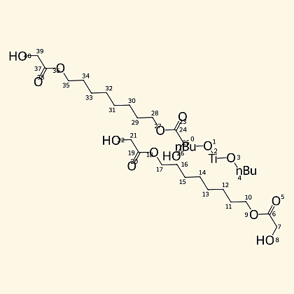 CCCC[O][Ti][O]CCCC.O=C(CO)OCCCCCCCCOC(=O)CO.O=C(CO)OCCCCCCCCOC(=O)CO